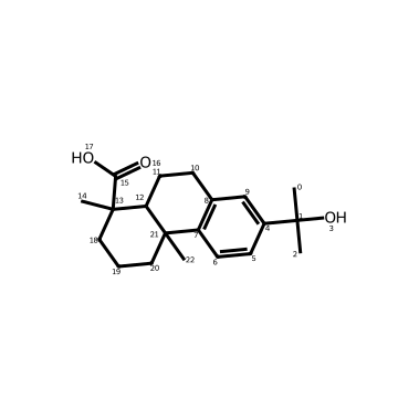 CC(C)(O)c1ccc2c(c1)CCC1C(C)(C(=O)O)CCCC21C